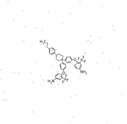 CCCc1ccc(C2CCC(c3ccc(Oc4ccc(N)cc4C(F)(F)F)cc3)(c3ccc(Oc4ccc(N)cc4C(F)(F)F)cc3)CC2)cc1